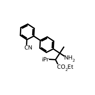 CCOC(=O)C(C(C)C)C(C)(N)c1ccc(-c2ccccc2C#N)cc1